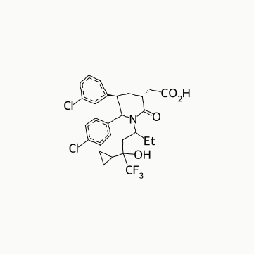 CCC(CC(O)(C1CC1)C(F)(F)F)N1C(=O)[C@@H](CC(=O)O)C[C@H](c2cccc(Cl)c2)C1c1ccc(Cl)cc1